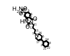 NS(=O)(=O)c1ccc2c(=O)n(CCCCN3CC=C(c4ccccc4)CC3)c(=O)[nH]c2c1